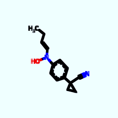 CC/C=C/N(O)c1ccc(C2(C#N)CC2)cc1